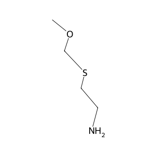 COCSCCN